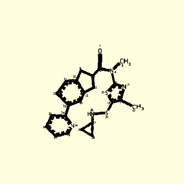 Cc1nc(N(C)C(=O)C2Cc3ccc(-c4ccccn4)cc3C2)sc1SNC1CC1